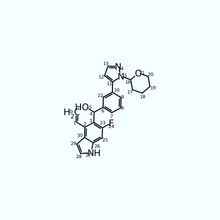 C=Cc1c(C(O)c2cccc(-c3ccnn3C3CCCCO3)c2)c(F)cc2[nH]ccc12